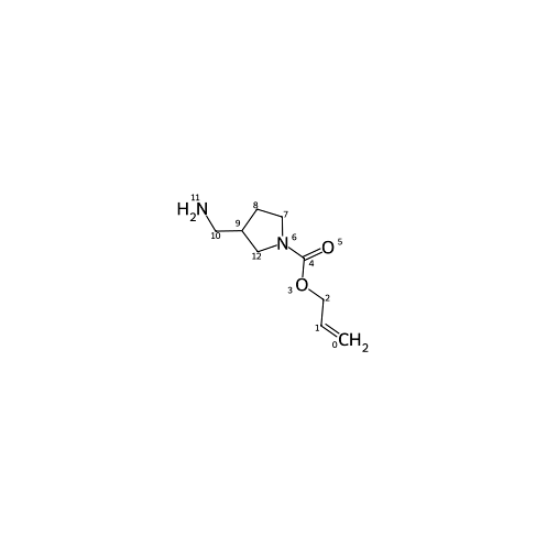 C=CCOC(=O)N1CCC(CN)C1